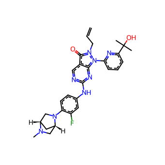 C=CCn1c(=O)c2cnc(Nc3ccc(N4C[C@@H]5C[C@H]4CN5C)c(F)c3)nc2n1-c1cccc(C(C)(C)O)n1